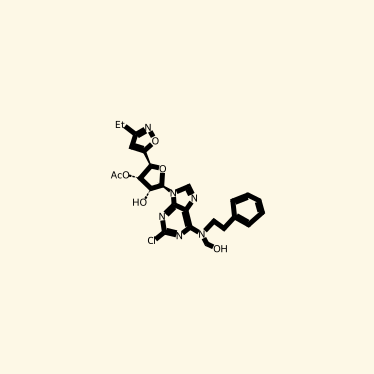 CCc1cc([C@H]2O[C@@H](n3cnc4c(N(CO)CCc5ccccc5)nc(Cl)nc43)[C@H](O)[C@@H]2OC(C)=O)on1